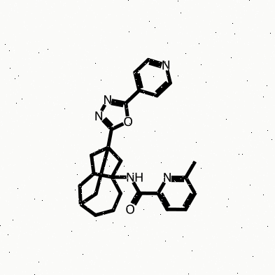 Cc1cccc(C(=O)NC23CCCC4CC2CC(c2nnc(-c5ccncc5)o2)(C4)C3)n1